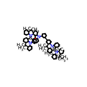 Cc1cccc2c1N(B1c3ccccc3N3c4ccc(-c5cccc(-n6c7ccccc7c7c8c(ccc76)C(C)(C)c6ccccc6N8B6c7ccccc7N7c8ccccc8C(C)(C)c8cccc6c87)c5)cc4C(C)(C)c4cccc1c43)c1c(C)cccc1[Si]2(C)C